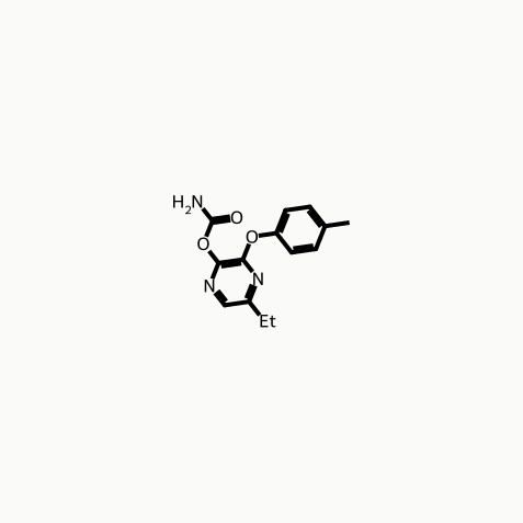 CCc1cnc(OC(N)=O)c(Oc2ccc(C)cc2)n1